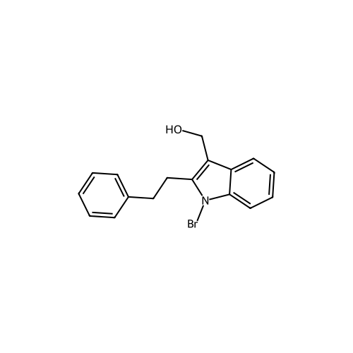 OCc1c(CCc2ccccc2)n(Br)c2ccccc12